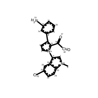 Cn1cc(-n2ccc(-c3cccc(N)c3)c2C(=O)C=O)c2cc(Cl)ccc21